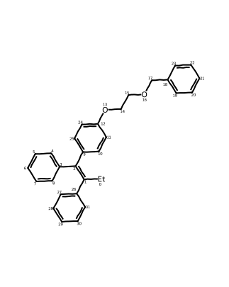 CCC(=C(c1ccccc1)c1ccc(OCCOCc2ccccc2)cc1)c1ccccc1